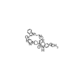 COc1ccc2c(c1)CCN(C1CCN(c3cc(C(=O)c4cn(CCCN5CCC(F)(F)C5)c5ccccc45)ncn3)CC1)C(=O)N2